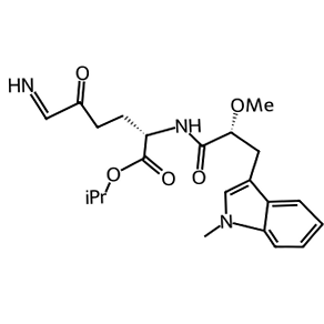 CO[C@H](Cc1cn(C)c2ccccc12)C(=O)N[C@@H](CCC(=O)C=N)C(=O)OC(C)C